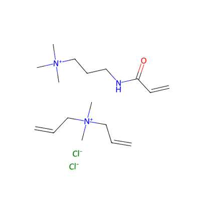 C=CC(=O)NCCC[N+](C)(C)C.C=CC[N+](C)(C)CC=C.[Cl-].[Cl-]